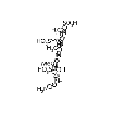 COc1cc(N=Nc2ccc(N=Nc3ccc(N=Nc4ccc(S(=O)(=O)O)cc4C)cc3OCCCS(=O)(=O)O)c(C)c2)ccc1N=Nc1c(S(=O)(=O)O)cc2cc(NCOc3ccc(N)cc3)ccc2c1O